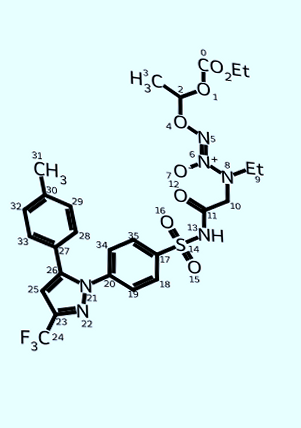 CCOC(=O)OC(C)ON=[N+]([O-])N(CC)CC(=O)NS(=O)(=O)c1ccc(-n2nc(C(F)(F)F)cc2-c2ccc(C)cc2)cc1